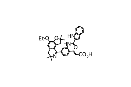 CCOc1cc2c(c3c1OC(C)(C)C3)C(c1ccc(C=CC(=O)O)c(NC(=O)c3cc4ccccc4[nH]3)c1)=NC(C)(C)C2